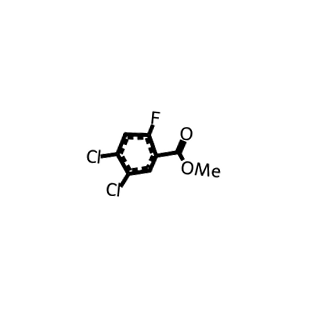 COC(=O)c1cc(Cl)c(Cl)cc1F